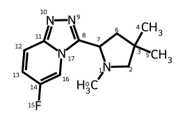 CN1CC(C)(C)CC1c1nnc2ccc(F)cn12